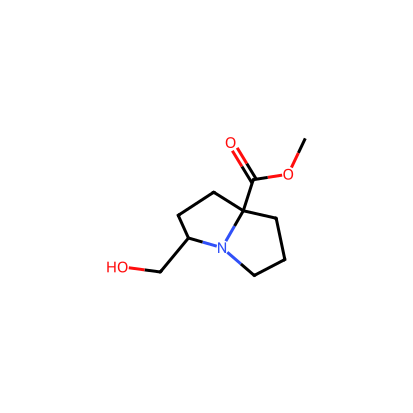 COC(=O)C12CCCN1C(CO)CC2